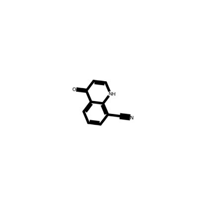 N#Cc1cccc2c(=O)cc[nH]c12